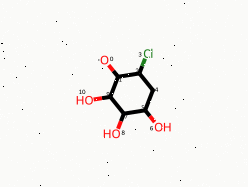 [O]C1C(Cl)CC(O)C(O)C1O